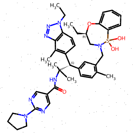 CC[C@@H]1CN(Cc2cc([C@@H](c3ccc4c(nnn4CC)c3C)C(C)(C)NC(=O)c3cnc(N4CCCC4)nc3)ccc2C)S(O)(O)c2ccccc2O1